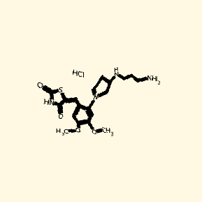 COc1cc(/C=C2/SC(=O)NC2=O)c(N2CCC(NCCCN)C2)cc1OC.Cl